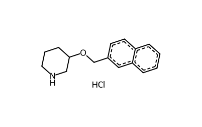 Cl.c1ccc2cc(COC3CCCNC3)ccc2c1